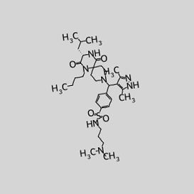 CCCCN1C(=O)[C@H](CC(C)C)NC(=O)C12CCN(C(c1ccc(S(=O)(=O)NCCCN(C)C)cc1)c1c(C)n[nH]c1C)CC2